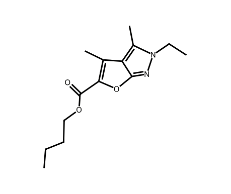 CCCCOC(=O)c1oc2nn(CC)c(C)c2c1C